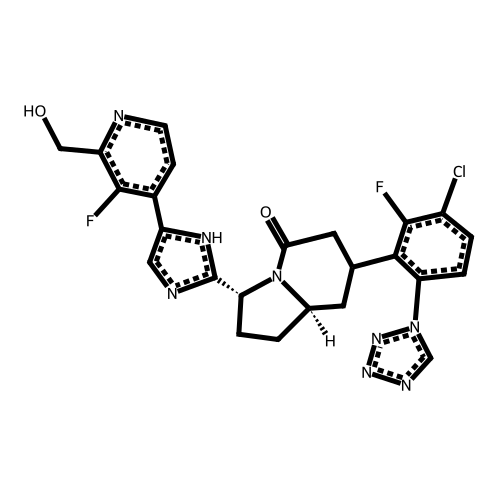 O=C1CC(c2c(-n3cnnn3)ccc(Cl)c2F)C[C@H]2CC[C@H](c3ncc(-c4ccnc(CO)c4F)[nH]3)N12